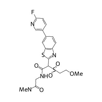 CNC(=O)CNC(=O)C(c1nc2ccc(-c3ccc(F)nc3)cc2s1)S(=O)(=O)CCOC